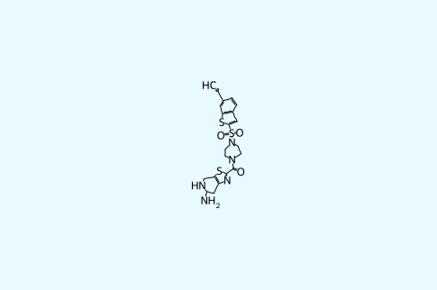 C#Cc1ccc2cc(S(=O)(=O)N3CCN(C(=O)c4nc5c(s4)CNC(N)C5)CC3)sc2c1